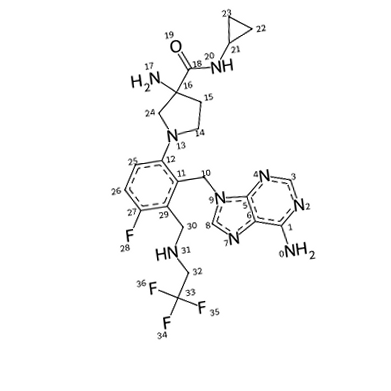 Nc1ncnc2c1ncn2Cc1c(N2CCC(N)(C(=O)NC3CC3)C2)ccc(F)c1CNCC(F)(F)F